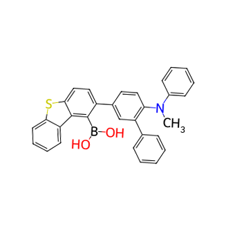 CN(c1ccccc1)c1ccc(-c2ccc3sc4ccccc4c3c2B(O)O)cc1-c1ccccc1